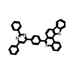 c1ccc(-c2cc(-c3ccc(-c4nc5ccccc5c5c4ccc4c6ccccc6sc45)cc3)nc(-c3ccccc3)n2)cc1